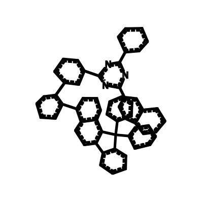 c1ccc(-c2nc(-c3cccc(-c4ccccc4-c4cccc5c6c(ccc45)-c4ccccc4C6(c4ccccc4)c4ccccc4)c3)nc(-c3ccc4ccccc4c3)n2)cc1